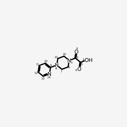 O=C(O)C(=O)N1CCN(c2ccccn2)CC1